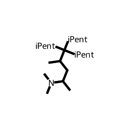 CCCC(C)C(C(C)CCC)(C(C)CCC)C(C)CC(C)N(C)C